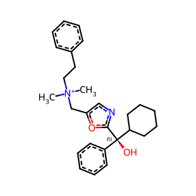 C[N+](C)(CCc1ccccc1)Cc1cnc([C@@](O)(c2ccccc2)C2CCCCC2)o1